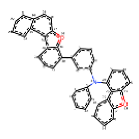 c1ccc(N(c2cccc(-c3cccc4c3oc3ccc5ccccc5c34)c2)c2cccc3oc4ccccc4c23)cc1